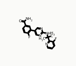 CC(C)(Nc1ncc(-c2cc(C(N)=O)ccc2F)cn1)c1ncccc1F